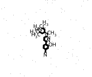 CN(c1ccc(-c2ccc(C#N)cc2O)nn1)C1CC(C)(C)NC(C)(C)C1